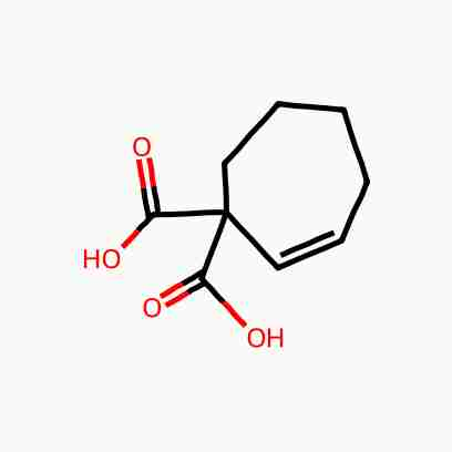 O=C(O)C1(C(=O)O)C=CCCCC1